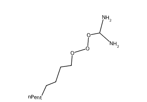 CCCCCCCCCOOOC(N)N